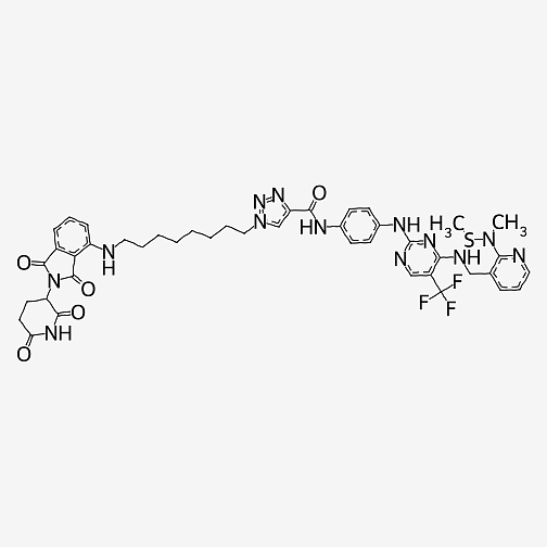 CSN(C)c1ncccc1CNc1nc(Nc2ccc(NC(=O)c3cn(CCCCCCCCNc4cccc5c4C(=O)N(C4CCC(=O)NC4=O)C5=O)nn3)cc2)ncc1C(F)(F)F